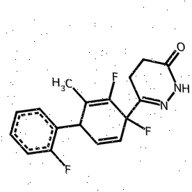 CC1=C(F)C(F)(C2=NNC(=O)CC2)C=CC1c1ccccc1F